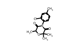 Cc1ccc(N2C(=O)C(C)OC(C)(C)C2=O)c(Cl)c1